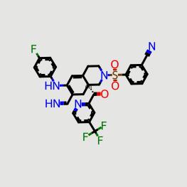 N#Cc1cccc(S(=O)(=O)N2CCC3=CC(Nc4ccc(F)cc4)=C(C=N)C[C@]3(C(=O)c3cc(C(F)(F)F)ccn3)C2)c1